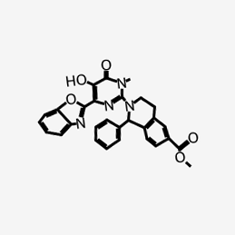 COC(=O)c1ccc2c(c1)CCN(c1nc(-c3nc4ccccc4o3)c(O)c(=O)n1C)C2c1ccccc1